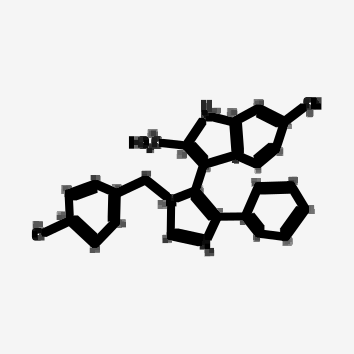 N#Cc1ccc2c(-c3c(-c4ccccc4)ncn3Cc3ccc(Cl)cc3)c(C(=O)O)[nH]c2c1